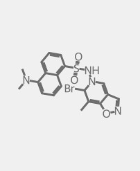 CC1=c2oncc2=CN(NS(=O)(=O)c2cccc3c(N(C)C)cccc23)C1Br